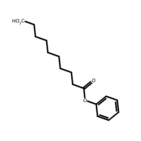 O=C(O)CCCCCCCCC(=O)Oc1ccccc1